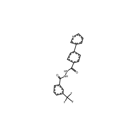 O=C(NNC(=O)c1cccc(C(F)(F)F)c1)c1ccc(-c2cccnc2)cc1